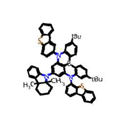 CC(C)(C)c1ccc2c(c1)N(c1ccc3sc4ccccc4c3c1)c1cc(N3c4ccccc4C4(C)CCCCC34C)cc3c1B2c1ccc(C(C)(C)C)cc1N3c1cccc2c1sc1ccccc12